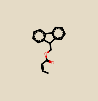 C/C=C\C(=O)OCC1c2ccccc2-c2ccccc21